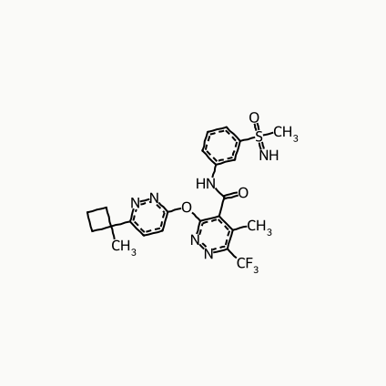 Cc1c(C(F)(F)F)nnc(Oc2ccc(C3(C)CCC3)nn2)c1C(=O)Nc1cccc(S(C)(=N)=O)c1